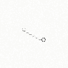 O=C(CCCC[C@@H]1CCSS1)NCCCc1ccccc1